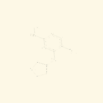 CC(C)(C)Nc1ncc(N)c(NC2CCNC2)n1